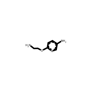 NCCOc1ccc(N)cn1